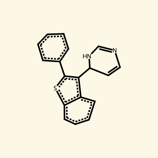 C1=CC(c2c(-c3ccccc3)sc3ccccc23)NC=N1